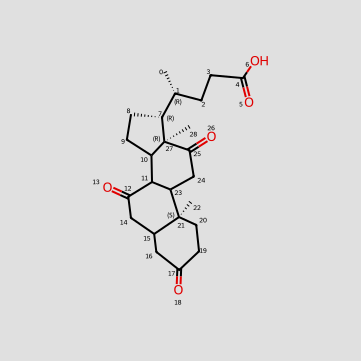 C[C@H](CCC(=O)O)[C@H]1CCC2C3C(=O)CC4CC(=O)CC[C@]4(C)C3CC(=O)[C@@]21C